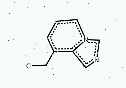 ClCc1cccn2cncc12